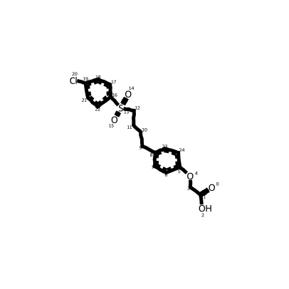 O=C(O)COc1ccc(CCCCS(=O)(=O)c2ccc(Cl)cc2)cc1